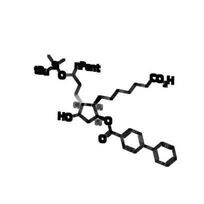 CCCCCC(CC[C@H]1C(O)C[C@H](OC(=O)c2ccc(-c3ccccc3)cc2)[C@@H]1CCCCCCC(=O)O)O[Si](C)(C)C(C)(C)C